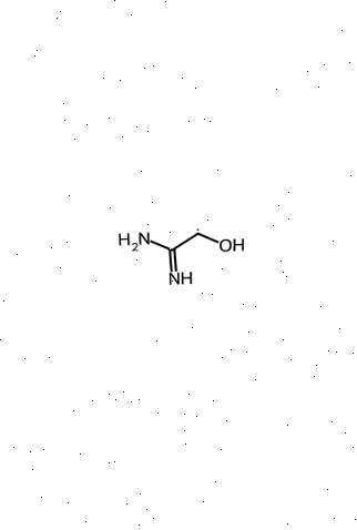 N=C(N)[CH]O